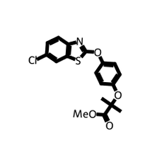 COC(=O)C(C)(C)Oc1ccc(Oc2nc3ccc(Cl)cc3s2)cc1